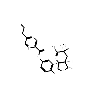 C[C@@]1(C#N)C[C@@H]2[C@@H](C(F)(F)F)OC[C@]2(c2cc(NC(=O)c3cnc(CCF)cn3)ccc2F)N=C1N